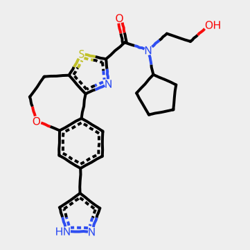 O=C(c1nc2c(s1)CCOc1cc(-c3cn[nH]c3)ccc1-2)N(CCO)C1CCCC1